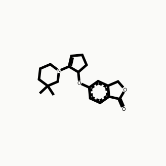 CC1(C)CCCN(C2=CCCC2Oc2ccc3c(c2)COC3=O)C1